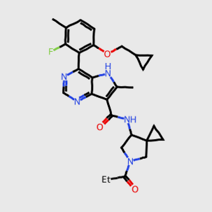 CCC(=O)N1CC(NC(=O)c2c(C)[nH]c3c(-c4c(OCC5CC5)ccc(C)c4F)ncnc23)C2(CC2)C1